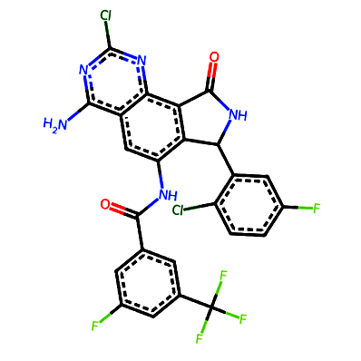 Nc1nc(Cl)nc2c3c(c(NC(=O)c4cc(F)cc(C(F)(F)F)c4)cc12)C(c1cc(F)ccc1Cl)NC3=O